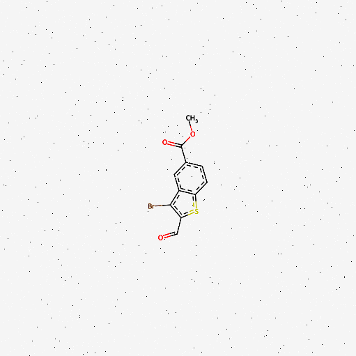 COC(=O)c1ccc2sc(C=O)c(Br)c2c1